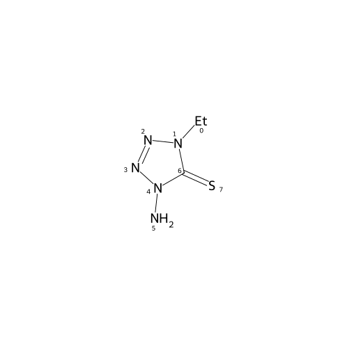 CCn1nnn(N)c1=S